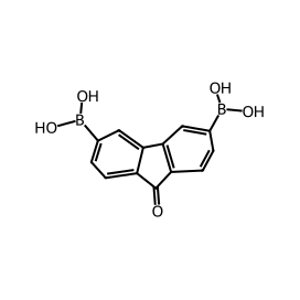 O=C1c2ccc(B(O)O)cc2-c2cc(B(O)O)ccc21